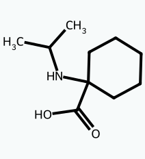 CC(C)NC1(C(=O)O)CCCCC1